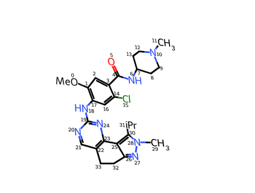 COc1cc(C(=O)NC2CCN(C)CC2)c(Cl)cc1Nc1ncc2c(n1)-c1c(nn(C)c1C(C)C)CC2